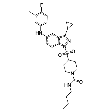 CCCCNC(=O)N1CCC(S(=O)(=O)n2nc(C3CC3)c3cc(Nc4ccc(F)c(C)c4)ccc32)CC1